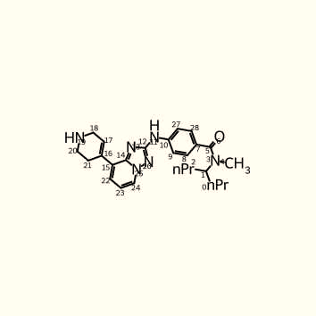 CCCC(CCC)N(C)C(=O)c1ccc(Nc2nc3c(C4=CCNCC4)cccn3n2)cc1